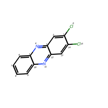 Clc1cc2nc3ccccc3nc2cc1Cl